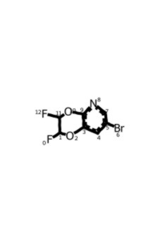 FC1Oc2cc(Br)cnc2OC1F